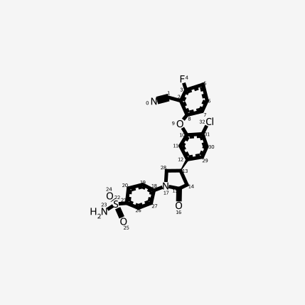 N#Cc1c(F)cccc1Oc1cc([C@H]2CC(=O)N(c3ccc(S(N)(=O)=O)cc3)C2)ccc1Cl